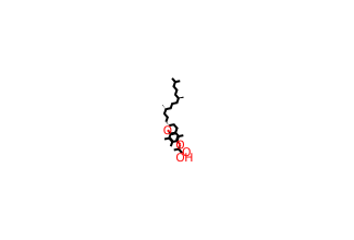 Cc1c(C)c2c(c(C)c1OC(C)C(=O)O)CC[C@@H](CCC[C@H](C)CCC[C@H](C)CCCC(C)C)O2